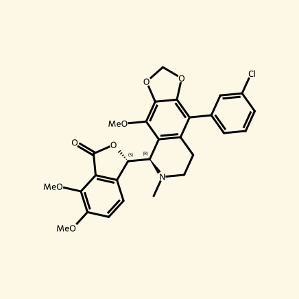 COc1ccc2c(c1OC)C(=O)O[C@@H]2[C@H]1c2c(c(-c3cccc(Cl)c3)c3c(c2OC)OCO3)CCN1C